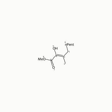 CCCCCCC(C)=C(O)C(=O)OC